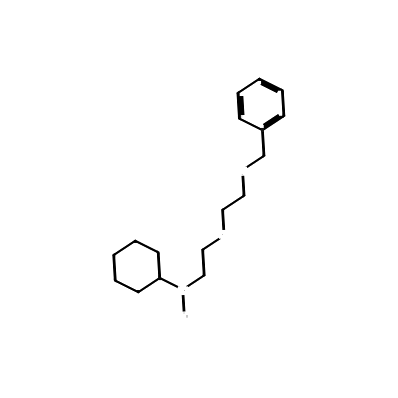 CCCN(CCNCCSCc1ccccc1)C1CCCCC1